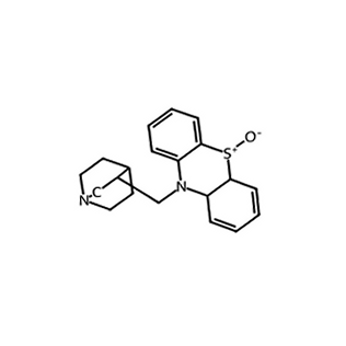 [O-][S+]1c2ccccc2N(CC2CN3CCC2CC3)C2C=CC=CC21